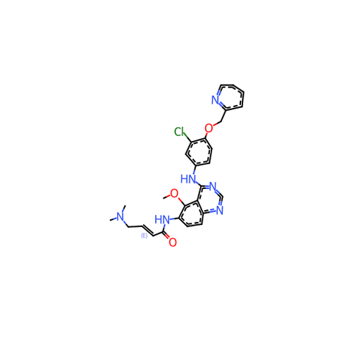 COc1c(NC(=O)/C=C/CN(C)C)ccc2ncnc(Nc3ccc(OCc4ccccn4)c(Cl)c3)c12